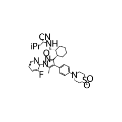 Cc1c(-c2ccc(N3CCS(=O)(=O)CC3)cc2)c([C@@H]2CCCC[C@H]2C(=O)N[C@H](C#N)C(C)C)nn1-c1ncccc1F